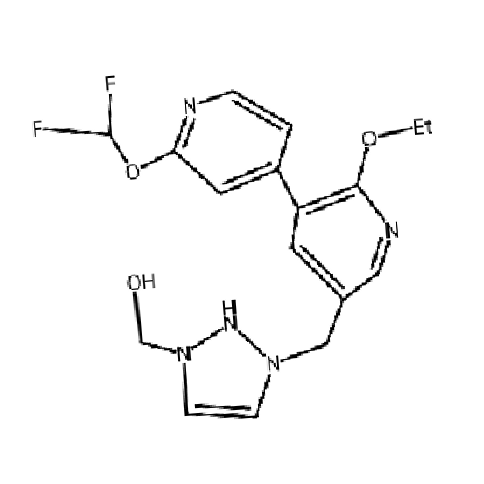 CCOc1ncc(CN2C=CN(CO)N2)cc1-c1ccnc(OC(F)F)c1